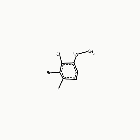 CNc1ccc(I)c(Br)c1Cl